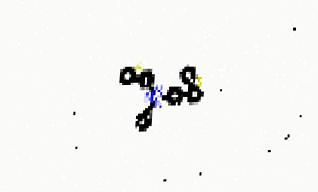 c1ccc2c(c1)C2c1nc(-c2ccc(-c3cccc4sc5ccccc5c34)cc2)nc(-c2ccc3sc4ccccc4c3c2)n1